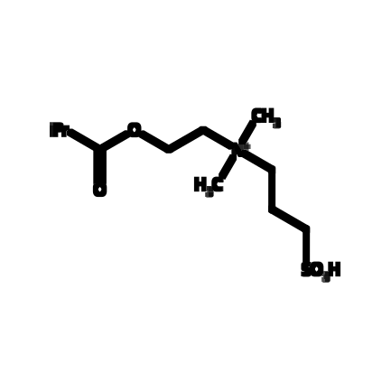 CC(C)C(=O)OCC[N+](C)(C)CCCS(=O)(=O)O